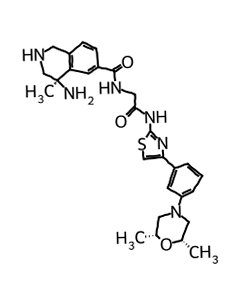 C[C@@H]1CN(c2cccc(-c3csc(NC(=O)CNC(=O)c4ccc5c(c4)[C@@](C)(N)CNC5)n3)c2)C[C@H](C)O1